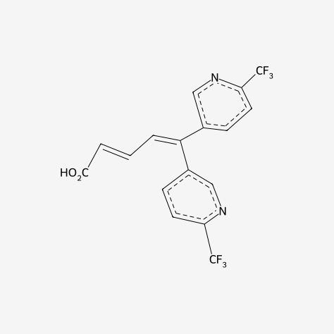 O=C(O)/C=C/C=C(c1ccc(C(F)(F)F)nc1)c1ccc(C(F)(F)F)nc1